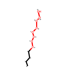 CCCCOOOOOOOO